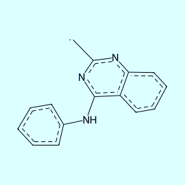 [CH2]c1nc(Nc2ccccc2)c2ccccc2n1